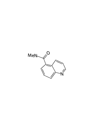 CNC(=O)c1cccc2ncccc12